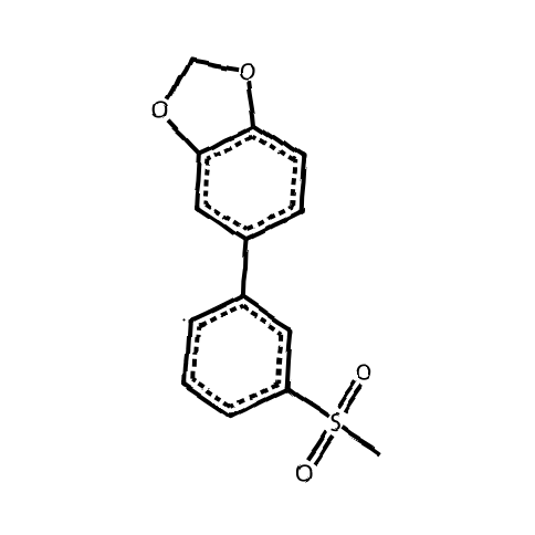 CS(=O)(=O)c1cc[c]c(-c2ccc3c(c2)OCO3)c1